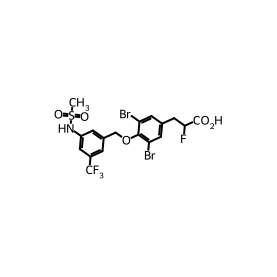 CS(=O)(=O)Nc1cc(COc2c(Br)cc(CC(F)C(=O)O)cc2Br)cc(C(F)(F)F)c1